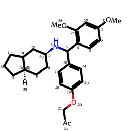 COc1ccc(C(N[C@H]2CC[C@H]3CCCC3C2)c2ccc(OCC(C)=O)cc2)c(OC)c1